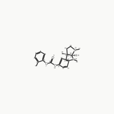 Cc1ccccc1OC(=O)Oc1ccc2c(c1)[C@]1(C)CCN(C)[C@@H]1N2C